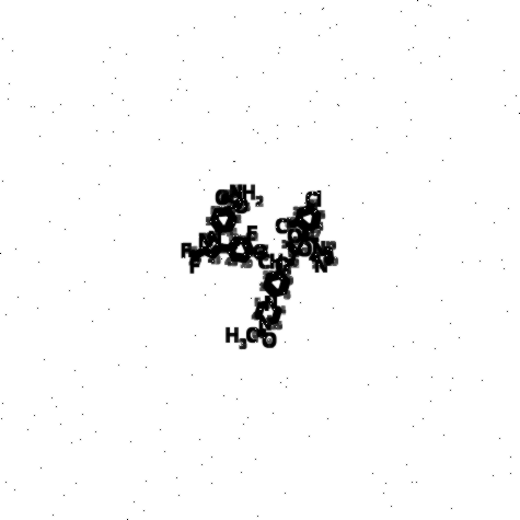 CC(=O)N1CCN(c2ccc(OC[C@H]3CO[C@](Cn4ccnc4)(c4ccc(Cl)cc4Cl)O3)cc2)CC1.COc1ccc(-c2cc(C(F)F)nn2-c2ccc(S(N)(=O)=O)cc2)cc1F